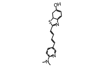 CN(C)c1ccc(/C=C/C=C/C2=NC3=CC=C(O)CC3S2)cn1